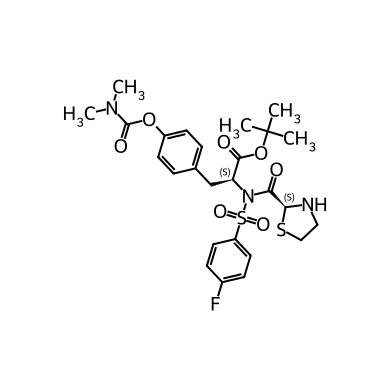 CN(C)C(=O)Oc1ccc(C[C@@H](C(=O)OC(C)(C)C)N(C(=O)[C@H]2NCCS2)S(=O)(=O)c2ccc(F)cc2)cc1